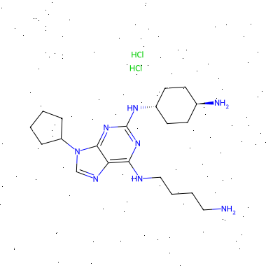 Cl.Cl.NCCCCNc1nc(N[C@H]2CC[C@H](N)CC2)nc2c1ncn2C1CCCC1